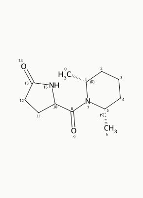 C[C@@H]1CCC[C@H](C)N1C(=O)C1CCC(=O)N1